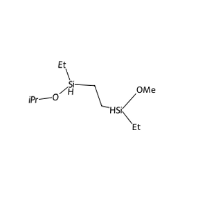 CC[SiH](CC[SiH](CC)OC(C)C)OC